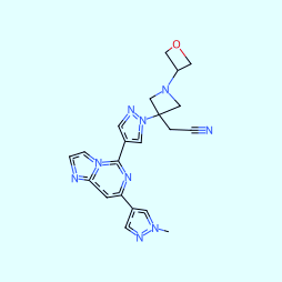 Cn1cc(-c2cc3nccn3c(-c3cnn(C4(CC#N)CN(C5COC5)C4)c3)n2)cn1